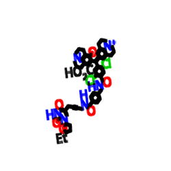 CC[C@@H]1CC[C@H](n2cc(CC#CCNC(=O)c3ccc(CNC(=O)c4cc(Cl)c(C5=c6cc7c8c(c6Oc6c5cc5c9c6CCCN9CCC5)CCC[N+]=8CCC7)c(C(=O)O)c4Cl)cc3)c(=O)[nH]c2=O)O1